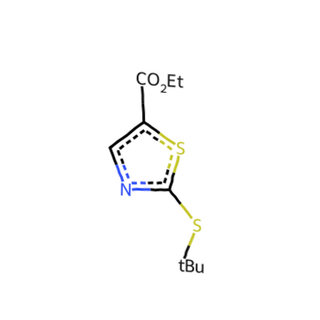 CCOC(=O)c1cnc(SC(C)(C)C)s1